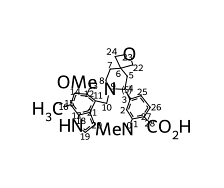 CNc1cc([C@@H]2CC3(CCN2Cc2c(OC)cc(C)c4[nH]ccc24)COC3)ccc1C(=O)O